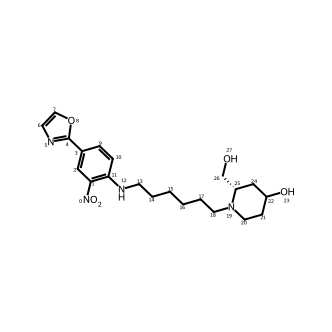 O=[N+]([O-])c1cc(-c2ncco2)ccc1NCCCCCCN1CCC(O)C[C@H]1CO